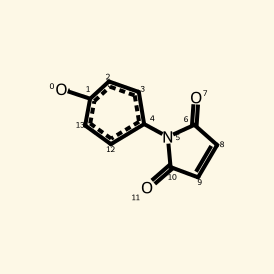 [O]c1ccc(N2C(=O)C=CC2=O)cc1